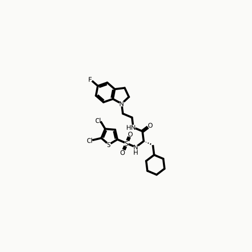 O=C(NCCN1CCc2cc(F)ccc21)[C@H](CC1CCCCC1)NS(=O)(=O)c1cc(Cl)c(Cl)s1